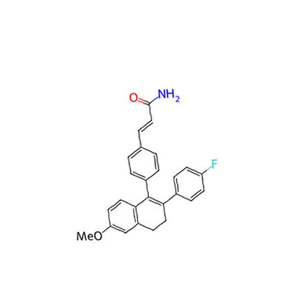 COc1ccc2c(c1)CCC(c1ccc(F)cc1)=C2c1ccc(C=CC(N)=O)cc1